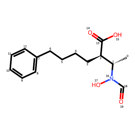 C[C@@H]([C@@H](CCCCc1ccccc1)C(=O)O)N(O)C=O